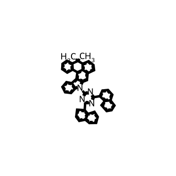 CC1(C)c2ccccc2-c2c3c1cccc3cc1c2c2ccccc2n1-c1nc(-c2cccc3ccccc23)nc(-c2cccc3ccccc23)n1